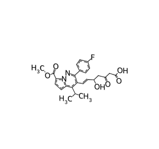 COC(=O)c1ccc2c(C(C)C)c(/C=C/C(O)CC(=O)CC(=O)O)c(-c3ccc(F)cc3)nn12